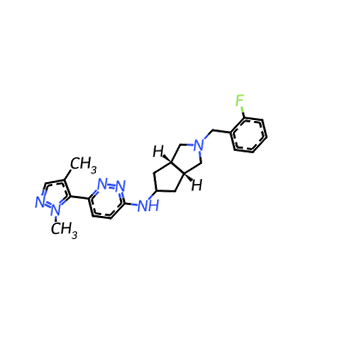 Cc1cnn(C)c1-c1ccc(NC2C[C@@H]3CN(Cc4ccccc4F)C[C@@H]3C2)nn1